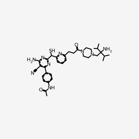 CC(=O)Nc1ccc(-c2nc(C(S)c3cccc(CCC(=O)N4CCN(CC(N)(C(C)C)C(C)C)CC4)n3)nc(N)c2C#N)cc1